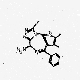 Cc1sc2c(c1C)C(c1ccccc1)=NC(N)c1nnc(C)n1-2